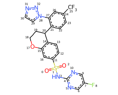 O=S(=O)(Nc1ncc(F)cn1)c1ccc2c(c1)OCCC2c1ccc(C(F)(F)F)cc1-n1ccnn1